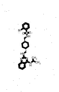 CC(C)Nc1nc(NC[C@H]2CC[C@H](CNS(=O)(=O)c3ccccc3Br)CC2)nc2ccccc12